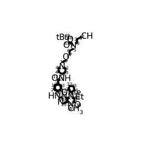 C#CCCN(CCCOCCN1CCC(NC(=O)c2ccc(Nc3ncc4c(n3)N(C3CCCC3)[C@H](CC)C(=O)N4C)c(OC)c2)CC1)C(=O)OC(C)(C)C